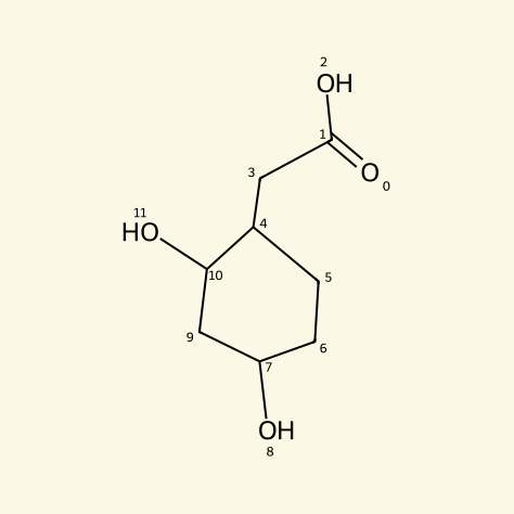 O=C(O)CC1CCC(O)CC1O